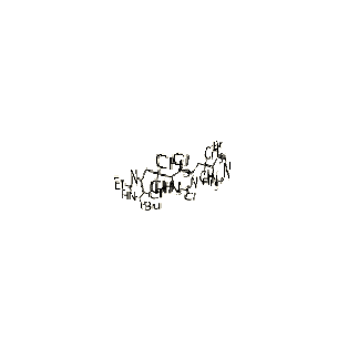 CCC1=NC(CC(C)(C)C2NC(Cl)=NC(CC(C)(C)C3NC=NC=C3Br)=C2Cl)=C(Cl)C(C(C)(C)C)N1